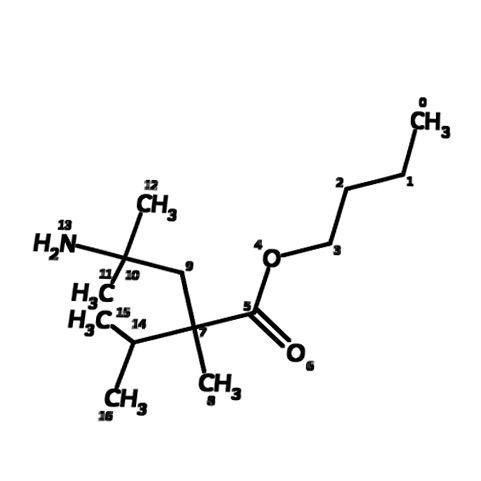 CCCCOC(=O)C(C)(CC(C)(C)N)C(C)C